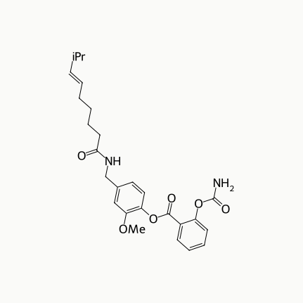 COc1cc(CNC(=O)CCCCC=CC(C)C)ccc1OC(=O)c1ccccc1OC(N)=O